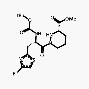 COC(=O)[C@@H]1CCCN(C(=O)[C@H](Cc2nc(Br)cs2)NC(=O)OC(C)(C)C)N1